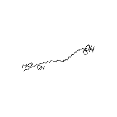 CCCC(O)CCC(O)CCCCCCCCCCCCCCCCCCCCCC(=O)O